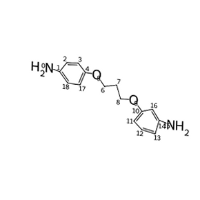 Nc1ccc(OCCCOc2cccc(N)c2)cc1